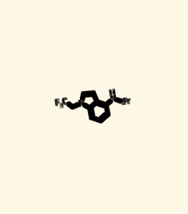 CC(C)Nc1cccc2c1ccn2CC(F)(F)F